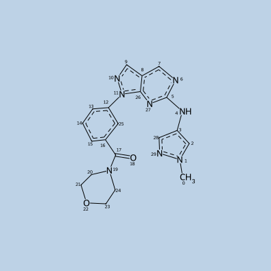 Cn1cc(Nc2ncc3cnn(-c4cccc(C(=O)N5CCOCC5)c4)c3n2)cn1